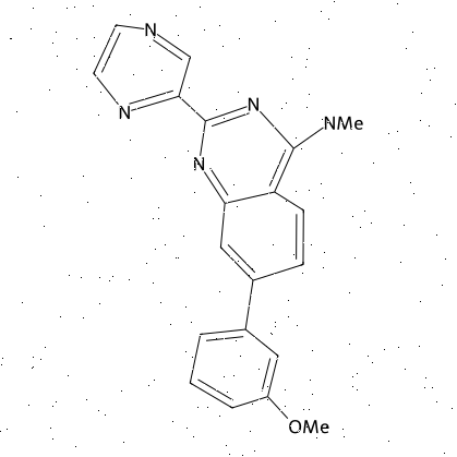 CNc1nc(-c2cnccn2)nc2cc(-c3cccc(OC)c3)ccc12